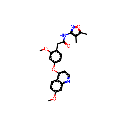 COc1ccc2c(Oc3ccc(CC(=O)Nc4noc(C)c4C)c(OC)c3)ccnc2c1